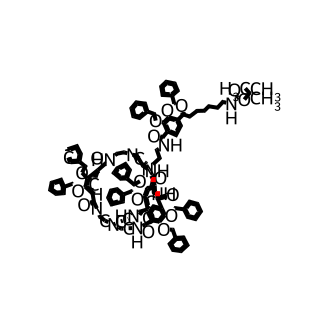 CC(C)(C)OC(=O)NCCCCCCC(=O)c1ccc(C(=O)NCCN2CCNC(=O)c3ccc(c(OCc4ccccc4)c3OCc3ccccc3)C(=O)NCCN3CCNC(=O)c4ccc(c(OCc5ccccc5)c4OCc4ccccc4)C(=O)NCCN(CCNC(=O)c4ccc(c(OCc5ccccc5)c4OCc4ccccc4)C(=O)NCC3)CC2)c(OCc2ccccc2)c1OCc1ccccc1